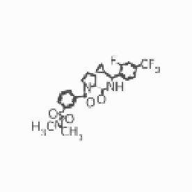 CN(C)S(=O)(=O)c1cccc(C(=O)N2CCC[C@@H]2C(=O)NC(c2ccc(C(F)(F)F)cc2F)C2CC2)c1